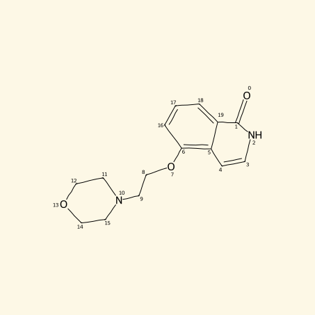 O=c1[nH]ccc2c(OCCN3CCOCC3)cccc12